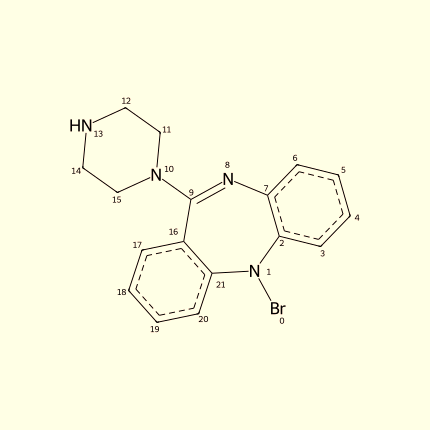 BrN1c2ccccc2N=C(N2CCNCC2)c2ccccc21